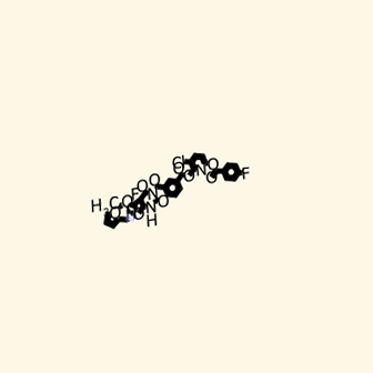 CCOC(=O)C1(F)C(=O)N(C(=O)c2cccc(C(=O)Oc3nc(OC(=O)c4ccc(F)cc4)ccc3Cl)c2)C(=O)NC1O/N=C/c1ccco1